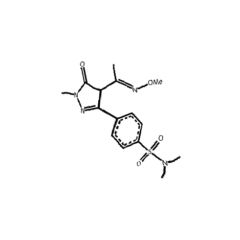 CON=C(C)C1C(=O)N(C)N=C1c1ccc(S(=O)(=O)N(C)C)cc1